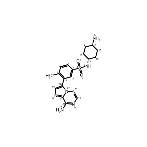 Cc1ccc(S(=O)(=O)N[C@H]2CC[C@H](N)CC2)cc1-c1cnc2c(N)ncnn12